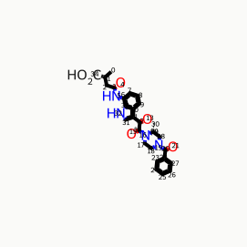 CC(CC(=O)Nc1cccc2c(C(=O)C(=O)N3CCN(C(=O)c4ccccc4)C[C@H]3C)c[nH]c12)C(=O)O